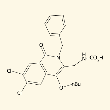 CCCCOc1c(CNC(=O)O)n(Cc2ccccc2)c(=O)c2cc(Cl)c(Cl)cc12